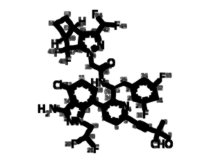 CC(C)(C#Cc1ccc(-c2ccc(Cl)c3c(N)nn(CC(F)F)c23)c([C@H](Cc2cc(F)cc(F)c2)NC(=O)Cn2nc(C(F)F)c3c2C(F)(F)[C@@H]2CC[C@H]32)n1)C=O